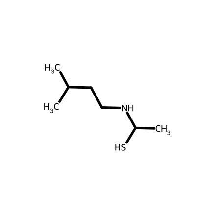 CC(C)CCNC(C)S